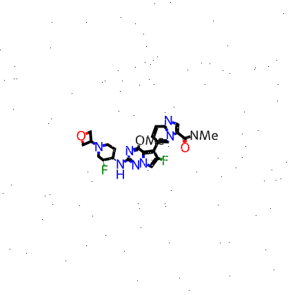 CNC(=O)c1cnc2ccc(-c3c(F)cn4nc(N[C@H]5CCN(C6COC6)C[C@H]5F)nc(OC)c34)cn12